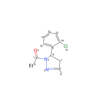 CCC(=O)N1N=C(C)CC1c1ccccc1Cl